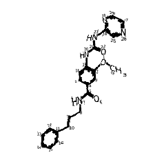 COc1cc(C(=O)NCCCc2ccccc2)ccc1NC(=O)Nc1cnccn1